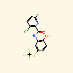 O=C(Nc1cc(SC(F)(F)F)ccc1O)c1nc(Cl)ccc1Cl